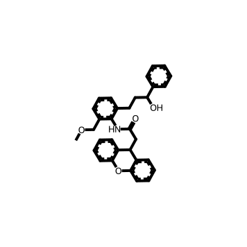 COCc1cccc(CCC(O)c2ccccc2)c1NC(=O)CC1c2ccccc2Oc2ccccc21